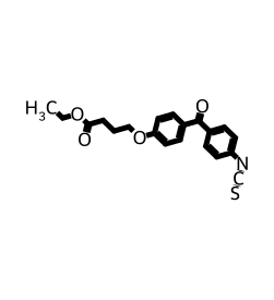 CCOC(=O)CCCOc1ccc(C(=O)c2ccc(N=C=S)cc2)cc1